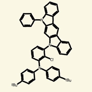 CC(C)(C)c1ccc(N(c2ccc(C(C)(C)C)cc2)c2cccc(-n3c4ccccc4c4cc5c6ccccc6n(-c6ccccc6)c5cc43)c2Cl)cc1